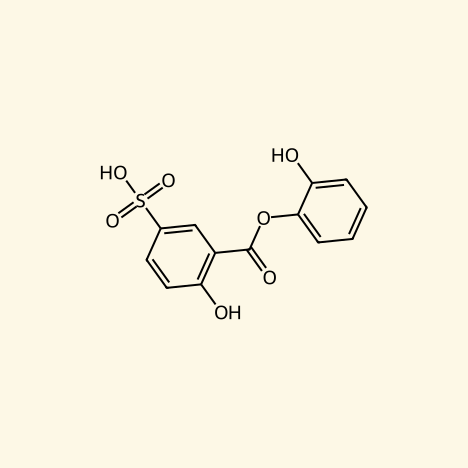 O=C(Oc1ccccc1O)c1cc(S(=O)(=O)O)ccc1O